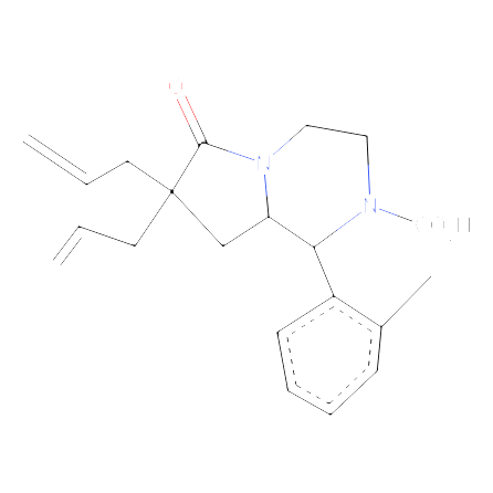 C=CCC1(CC=C)CC2C(c3ccccc3C)N(C(=O)O)CCN2C1=O